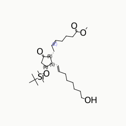 COC(=O)CCC/C=C\C[C@H]1C(=O)C[C@@H](O[Si](C)(C)C(C)(C)C)[C@H]1C=CCCCCCCO